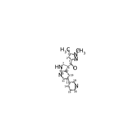 Cc1cc(C(=O)C2CNc3ncc(-c4cccnc4)cc32)nn1C